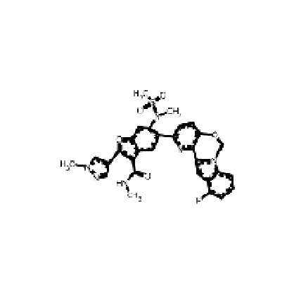 CNC(=O)c1c(-c2cnn(C)c2)oc2cc(N(C)S(C)(=O)=O)c(-c3ccc4c(n3)-c3cc5c(F)cccc5n3CO4)cc12